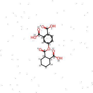 O=C(O)c1ccc(OC(=O)C2CCCCC2C(=O)O)cc1C(=O)O